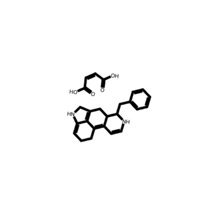 C1=CC2=C3CCC=C4NCC(=C43)CC2C(Cc2ccccc2)N1.O=C(O)/C=C\C(=O)O